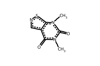 Cn1c(=O)c2cnsc2n(C)c1=O